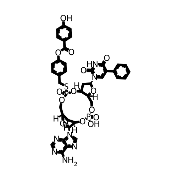 Nc1ncnc2c1ncn2[C@@H]1O[C@@H]2COP(=O)(SCc3ccc(OC(=O)c4ccc(O)cc4)cc3)O[C@H]3C[C@H](n4cc(-c5ccccc5)c(=O)[nH]c4=O)O[C@@H]3COP(=O)(O)O[C@@H]1[C@@H]2F